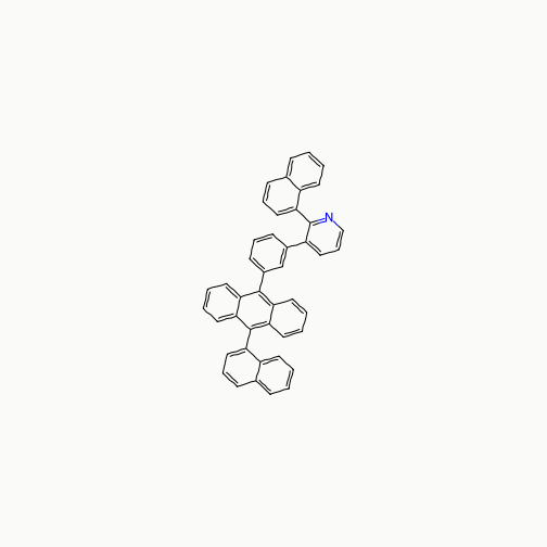 c1cc(-c2cccnc2-c2cccc3ccccc23)cc(-c2c3ccccc3c(-c3cccc4ccccc34)c3ccccc23)c1